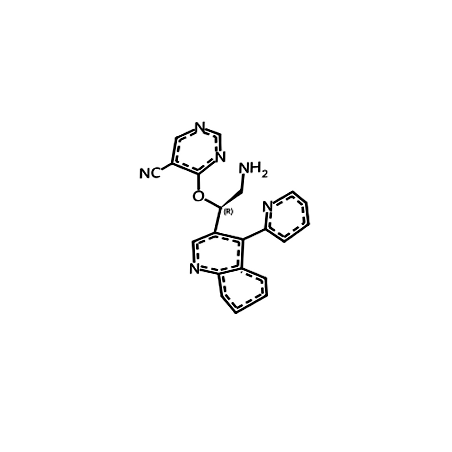 N#Cc1cncnc1O[C@@H](CN)c1cnc2ccccc2c1-c1ccccn1